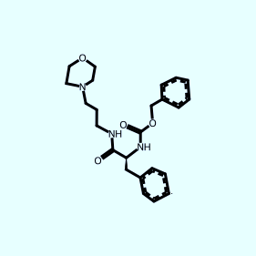 O=C(N[C@@H](Cc1cc[c]cc1)C(=O)NCCCN1CCOCC1)OCc1ccccc1